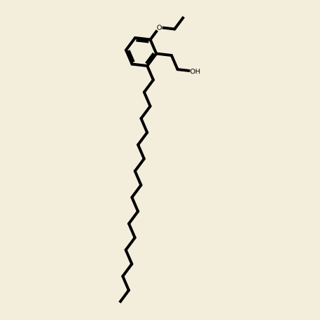 CCCCCCCCCCCCCCCCCCc1cccc(OCC)c1CCO